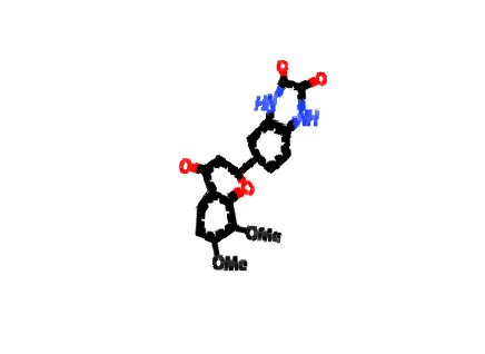 COc1ccc2c(=O)cc(-c3ccc4[nH]c(=O)c(=O)[nH]c4c3)oc2c1OC